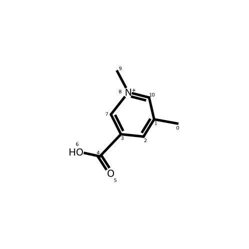 Cc1cc(C(=O)O)c[n+](C)c1